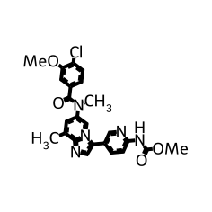 COC(=O)Nc1ccc(-c2cnc3c(C)cc(N(C)C(=O)c4ccc(Cl)c(OC)c4)cn23)cn1